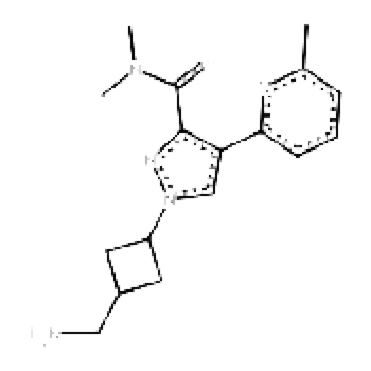 Cc1cccc(-c2cn(C3CC(CN)C3)nc2C(=O)N(C)C)n1